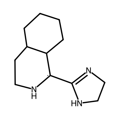 C1CCC2[C](C3=NCCN3)NCCC2C1